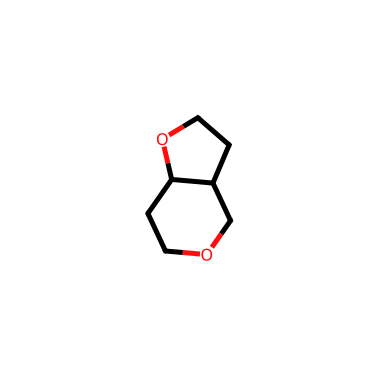 C1CC2OCCC2CO1